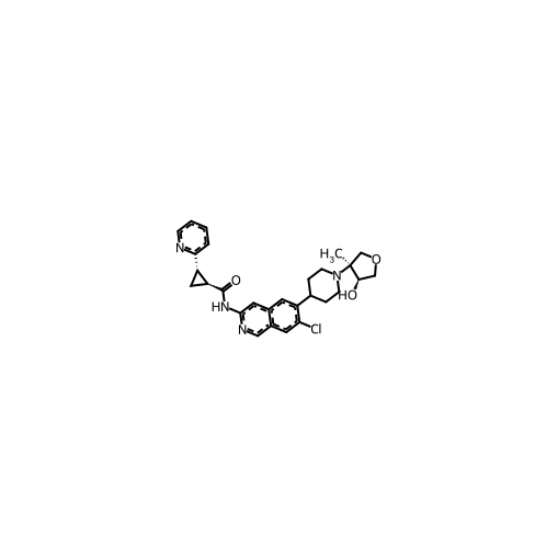 C[C@]1(N2CCC(c3cc4cc(NC(=O)[C@H]5C[C@@H]5c5ccccn5)ncc4cc3Cl)CC2)COC[C@H]1O